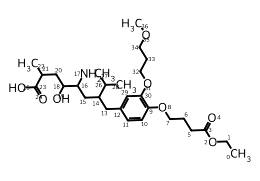 CCOC(=O)CCCOc1ccc(CC(CC(N)C(O)CC(C)C(=O)O)C(C)C)cc1OCCCOC